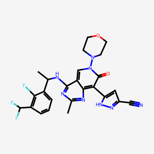 Cc1nc(NC(C)c2cccc(C(F)F)c2F)c2cn(N3CCOCC3)c(=O)c(-c3cc(C#N)n[nH]3)c2n1